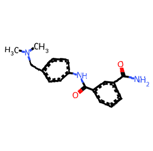 CN(C)Cc1ccc(NC(=O)c2cccc(C(N)=O)c2)cc1